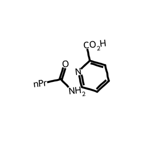 CCCC(N)=O.O=C(O)c1ccccn1